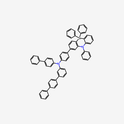 c1ccc(-c2ccc(-c3cccc(N(c4ccc(-c5ccccc5)cc4)c4ccc(-c5ccc6c(c5)N(c5ccccc5)c5ccccc5[Si]6(c5ccccc5)c5ccccc5)cc4)c3)cc2)cc1